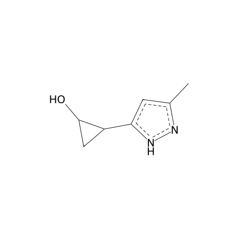 Cc1cc(C2CC2O)[nH]n1